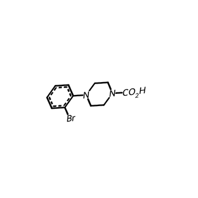 O=C(O)N1CCN(c2ccccc2Br)CC1